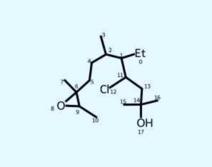 CCC(C(C)CCC1(C)OC1C)C(Cl)CC(C)(C)O